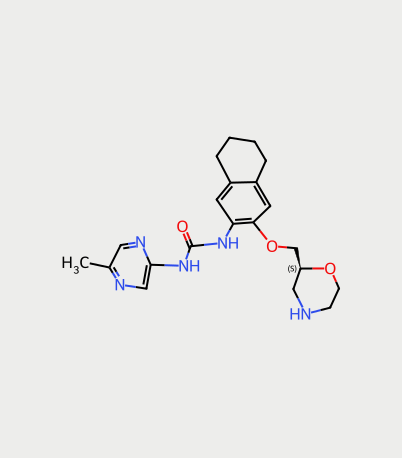 Cc1cnc(NC(=O)Nc2cc3c(cc2OC[C@@H]2CNCCO2)CCCC3)cn1